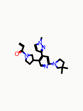 C=CC(=O)N1CCC(c2cnc(N3CCC(C)(C)C3)cc2-c2ccn(C)n2)C1